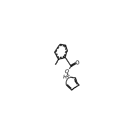 Cc1ccccc1C(=O)O[SH]1C=CC=C1